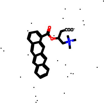 C[N+](C)(C)CC(CC(=O)[O-])OC(=O)c1cccc2cc3cc4ccccc4cc3cc12